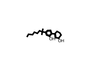 CCCCCCC(C)(C)c1ccc(C2=CC(O)CCC2)c(O)c1